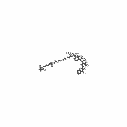 CCc1c2c(nc3ccccc13)-c1cc3c(c(=O)n1C2)COC(=O)[C@H]3OC1=C2CCCN(C(=O)[C@H](CC(=O)O)NC(=O)CCOCCOCCOCCNC(=O)CCCCCN3C(=O)C=CC3=O)[C@@H]2C(=O)N[C@H]1C(C)C